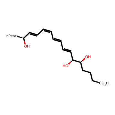 CCCCC[C@H](O)/C=C/C=C\C=C\C=C\[C@H](O)[C@@H](O)CCCC(=O)O